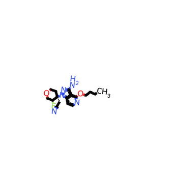 CCCCOc1nccc2c1c(N)nn2[C@]1(CC#N)CCOC[C@@H]1F